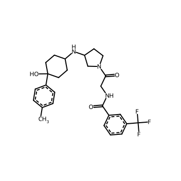 Cc1ccc(C2(O)CCC(NC3CCN(C(=O)CNC(=O)c4cccc(C(F)(F)F)c4)C3)CC2)cc1